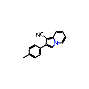 Cc1ccc(-c2cn3ccccc3c2C#N)cc1